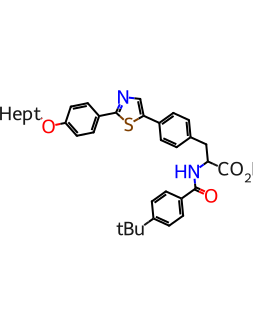 CCCCCCCOc1ccc(-c2ncc(-c3ccc(CC(NC(=O)c4ccc(C(C)(C)C)cc4)C(=O)O)cc3)s2)cc1